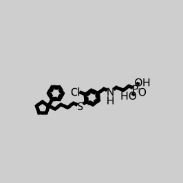 O=P(O)(O)CCCNCc1ccc(SCCCCC2(c3ccccc3)CCCC2)c(Cl)c1